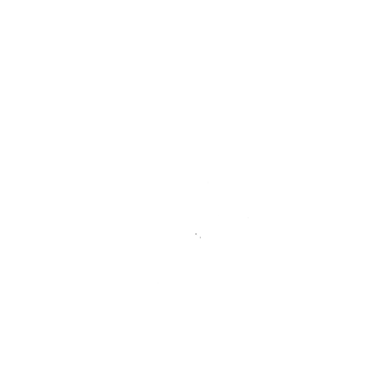 CCOC(=O)C=COC(=O)N1CCOC(C)C1